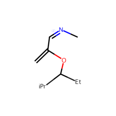 C=C(/C=N\C)OC(CC)C(C)C